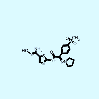 CS(=O)(=O)c1ccc(/C(=N\N2CCCC2)C(=O)Nc2ncc(/C(N)=N/O)s2)cc1